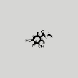 CCOC(=O)c1c(C)cc(O)c(=O)c(O)c1C